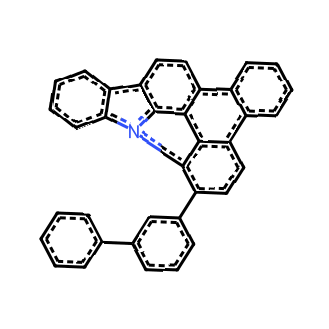 c1ccc(-c2cccc(-c3ccc4c5ccccc5c5ccc6c7ccccc7n7c3c4c5c67)c2)cc1